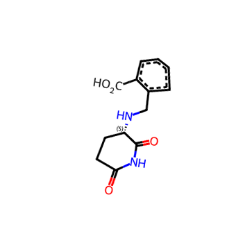 O=C1CC[C@H](NCc2ccccc2C(=O)O)C(=O)N1